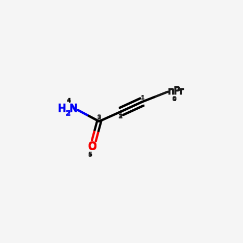 CCCC#CC(N)=O